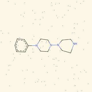 c1ccc(N2CCN(N3CCNCC3)CC2)cc1